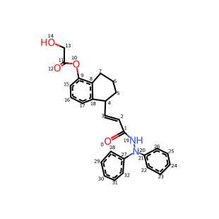 O=C(C=CC1CCCc2c(OC(=O)CO)cccc21)NN(c1ccccc1)c1ccccc1